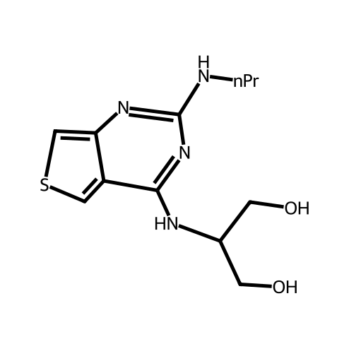 CCCNc1nc(NC(CO)CO)c2cscc2n1